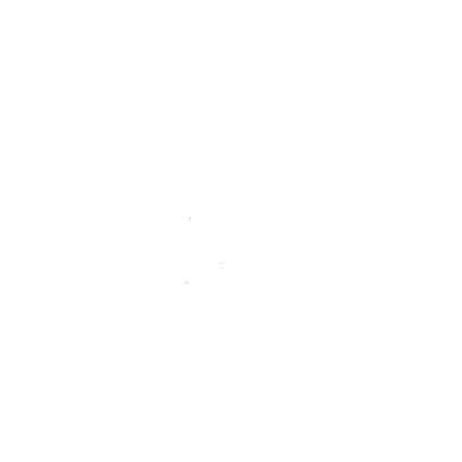 Cc1cc2c3c(c1)c(-c1ccccc1)nc(=NO)c(=O)n3CC2